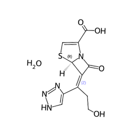 O.O=C(O)C1=CS[C@@H]2/C(=C(/CCO)c3c[nH]nn3)C(=O)N12